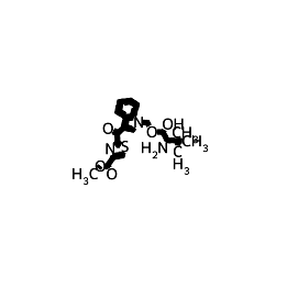 COC(=O)c1csc(C(=O)c2cn(COC(O)C(N)C(C)(C)C)c3ccccc23)n1